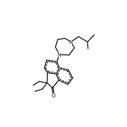 CCC1(CC)C(=O)c2cccc3c(N4CCCN(CC(C)C)CC4)ccc1c23